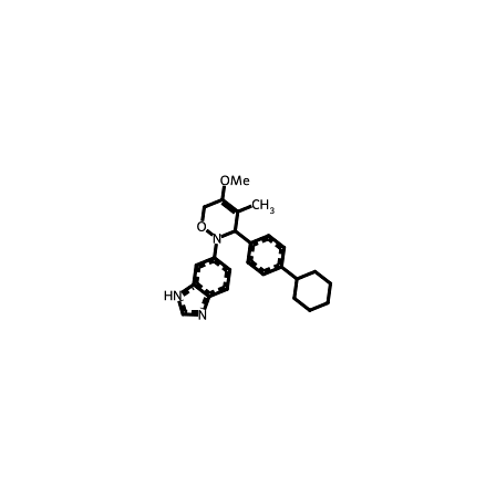 COC1=C(C)C(c2ccc(C3CCCCC3)cc2)N(c2ccc3nc[nH]c3c2)OC1